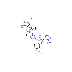 CC[C@@H]1CC(Cc2ccc3nc([C@@H](NC(=O)c4ccnn4CC)[C@H]4CC[C@H](C)CC4)cn3n2)(C(=O)O)C(=O)N1